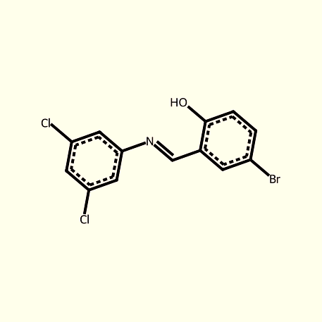 Oc1ccc(Br)cc1C=Nc1cc(Cl)cc(Cl)c1